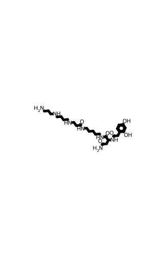 NCCCNCCCCNCCC(=O)NCCCCCNC(=O)C(CC(N)=O)NC(=O)Cc1ccc(O)cc1O